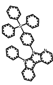 c1ccc(-n2c3ccccc3c3c4cccnc4n(-c4ccc([Si](c5ccccc5)(c5ccccc5)c5ccccc5)cc4)c32)cc1